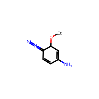 CCOC1C=C(N)C=CC1=[N+]=[N-]